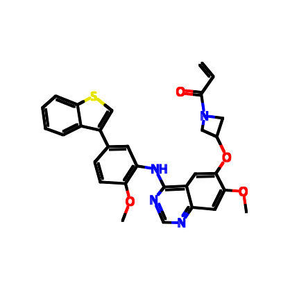 C=CC(=O)N1CC(Oc2cc3c(Nc4cc(-c5csc6ccccc56)ccc4OC)ncnc3cc2OC)C1